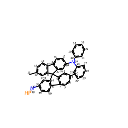 Cc1ccc2c(c1)C1(c3cc(C)ccc3-c3ccc(N(c4ccccc4)c4ccccc4)cc31)c1cc(N=P)ccc1-2